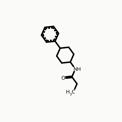 CCC(=O)NC1CCC(c2ccccc2)CC1